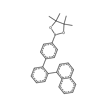 CC1(C)OB(c2ccc(-c3ccccc3-c3cccc4ccccc34)cc2)OC1(C)C